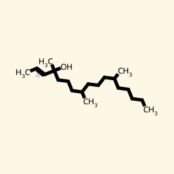 C/C=C/C(C)(O)CCCC(C)CCCC(C)CCCCC